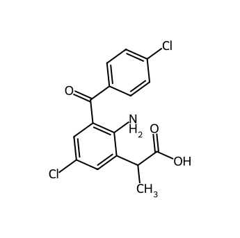 CC(C(=O)O)c1cc(Cl)cc(C(=O)c2ccc(Cl)cc2)c1N